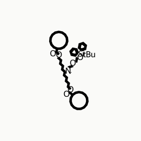 CN(CCOCCO[Si](c1ccccc1)(c1ccccc1)C(C)(C)C)C(CCCCCOC(=O)C1CCCCCCCCCCCCCC1)CCCCCOC(=O)C1CCCCCCCCCCCCCC1